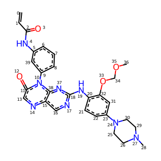 C=CC(=O)Nc1cccc(-n2c(=O)cnc3cnc(Nc4ccc(N5CCN(C)CC5)cc4OCOC)nc32)c1